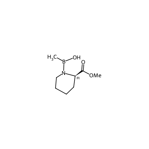 COC(=O)[C@H]1CCCCN1B(C)O